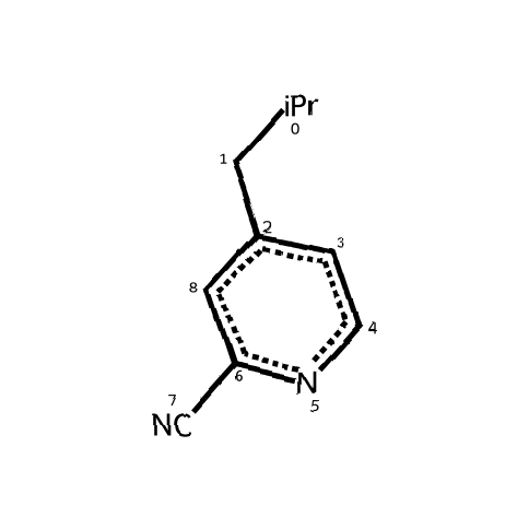 CC(C)Cc1ccnc(C#N)c1